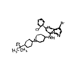 CCC(C)(C)C1CCC(N2CCC(Nc3cc(-c4ccccc4Cl)nc4c(Br)cnn34)CC2)CC1